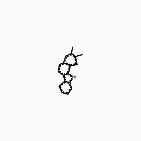 Cc1cc2ccc3c4ccccc4[nH]c3c2cc1C